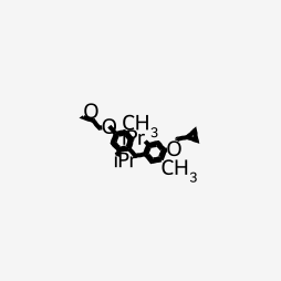 Cc1cc(Cc2cc(C)c(OCC3CO3)cc2C(C)C)c(C(C)C)cc1OCC1CC1